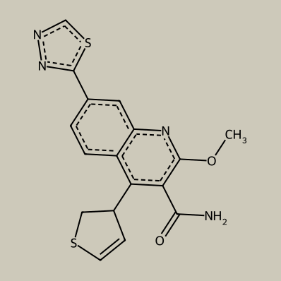 COc1nc2cc(-c3nncs3)ccc2c(C2C=CSC2)c1C(N)=O